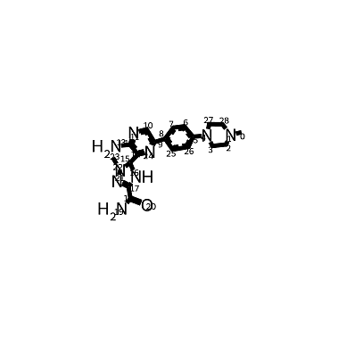 CN1CCN(c2ccc(-c3cnc(N)c(C4NC(C(N)=O)=NN4C)n3)cc2)CC1